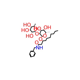 CCCCCCCC(CC(=O)NCc1ccccc1)O[C@@H]1O[C@@H](C)[C@H](O)[C@@H](O)[C@H]1O[C@@H]1O[C@H](C)C(O)[C@@H](O)[C@H]1O